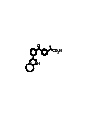 CC(C(=O)O)c1cccc(C(=O)c2cccc(C3CNC4CCCCCN4C3)c2)c1